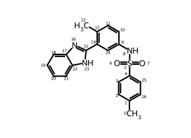 Cc1ccc(S(=O)(=O)Nc2ccc(C)c(-c3nc4ccccc4[nH]3)c2)cc1